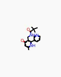 Cc1cc(=O)c(CNC(=O)C(C)(C)C)c(-c2cccnc2)[nH]1